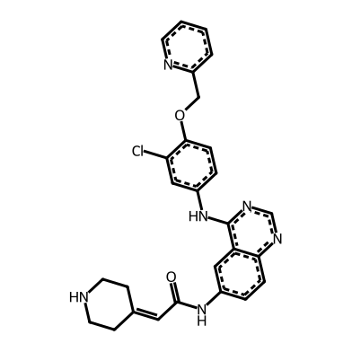 O=C(C=C1CCNCC1)Nc1ccc2ncnc(Nc3ccc(OCc4ccccn4)c(Cl)c3)c2c1